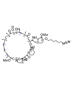 CO[C@H]1C[C@@H]2CC[C@@H](C)[C@@](O)(O2)C(=O)C(=O)N2CCCC[C@H]2C(=O)O[C@H]([C@H](N)C[C@@H]2CC[C@@H](OCCCCCCN=[N+]=[N-])[C@H](OC)C2)CC(=O)[C@H](C)/C=C(\C)[C@@H](O)[C@@H](O)C(=O)[C@H](C)C[C@H](C)/C=C/C=C/C=C/1C